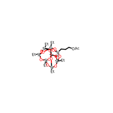 CC[Si]12O[Si]3(CC)O[Si]4(CC)O[Si](CC)(O1)O[Si]1(CC)O[Si](CC)(O2)O[Si](CC)(O3)O[Si](CCCOC(C)=O)(O4)O1